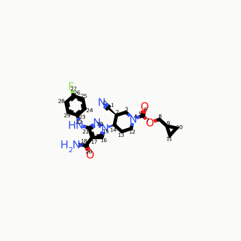 N#C[C@H]1CN(C(=O)OCC2CC2)CC[C@H]1n1cc(C(N)=O)c(Nc2ccc(F)cc2)n1